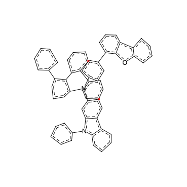 c1ccc(-c2ccccc2-c2c(-c3ccccc3)cccc2N(c2ccc(-c3cccc4c3oc3ccccc34)cc2)c2ccc3c4ccccc4n(-c4ccccc4)c3c2)cc1